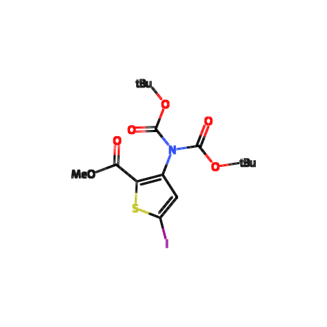 COC(=O)c1sc(I)cc1N(C(=O)OC(C)(C)C)C(=O)OC(C)(C)C